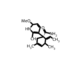 C/C=C1\C(C)C=C(C)C[C@@]1(C(N)=O)C1=C(C)NC(OC)C=C1